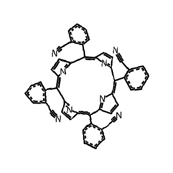 N#Cc1ccccc1C1=C2C=CC(=N2)C(c2ccccc2C#N)=C2C=CC(=N2)C(c2ccccc2C#N)=C2C=CC(=N2)C(c2ccccc2C#N)=C2C=CC1=N2